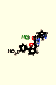 Cl.O=C(O)c1cccc(-c2cccc3cc(C(=O)N[C@@H]4CN5CCC4CC5)oc23)c1